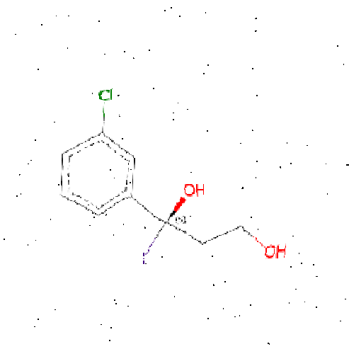 OCC[C@](O)(I)c1cccc(Cl)c1